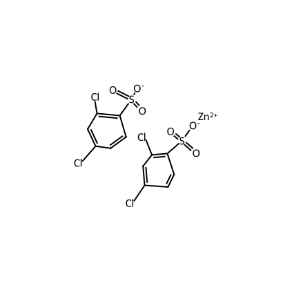 O=S(=O)([O-])c1ccc(Cl)cc1Cl.O=S(=O)([O-])c1ccc(Cl)cc1Cl.[Zn+2]